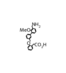 COc1c(CN)cccc1-c1cccc(COc2ccccc2CC(=O)O)c1